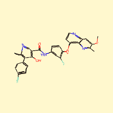 COc1cc2nccc(Oc3ccc(NC(=O)c4cnc(C)c(-c5ccc(F)cc5)c4O)cc3F)c2nc1C